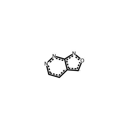 [c]1onc2nnccc12